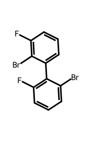 Fc1cccc(-c2c(F)cccc2Br)c1Br